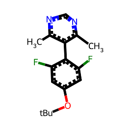 Cc1ncnc(C)c1-c1c(F)cc(OC(C)(C)C)cc1F